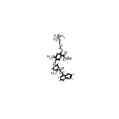 COC(=O)c1cc(O[C@H]2CC[C@@](C)(C(=O)OCc3cccc4ccccc34)CC2)c(C)cc1OCOCCS(C)(C)C